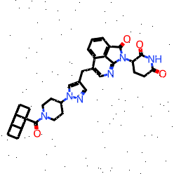 O=C1CCC(N2C(=O)c3cccc4c(Cc5cnn(C6CCN(C(=O)C78C9C%10C%11C9C7C%11C%108)CC6)c5)cnc2c34)C(=O)N1